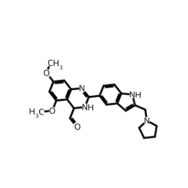 COc1cc2c(c(OC)c1)C(C=O)NC(c1ccc3[nH]c(CN4CCCC4)cc3c1)=N2